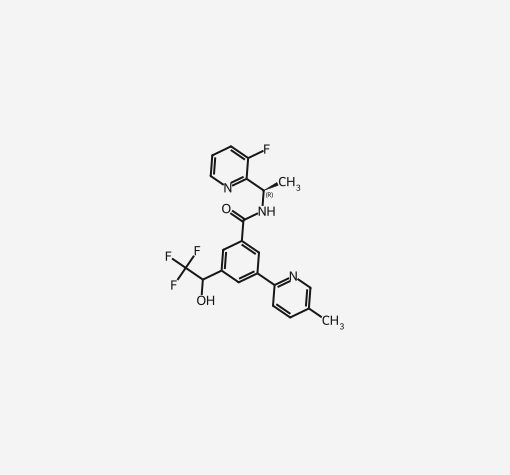 Cc1ccc(-c2cc(C(=O)N[C@H](C)c3ncccc3F)cc(C(O)C(F)(F)F)c2)nc1